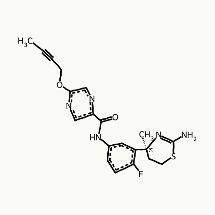 CC#CCOc1cnc(C(=O)Nc2ccc(F)c([C@]3(C)CCSC(N)=N3)c2)cn1